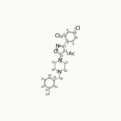 CC(=O)c1c(-c2ccc(Cl)cc2Cl)noc1N1CCN(Cc2cccc(C)c2)CC1